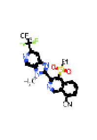 CCS(=O)(=O)c1c(-c2nc3cc(C(F)(F)C(F)(F)F)ncc3n2C)ncc2c(C#N)cccc12